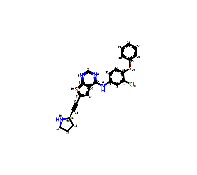 Clc1cc(Nc2ncnc3sc(C#C[C@H]4CCCN4)cc23)ccc1Sc1ccccc1